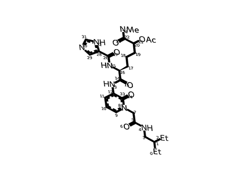 CCC(CC)CNC(=O)Cn1cccc(NC(=O)[C@H](CCCC(OC(C)=O)C(=O)NC)NC(=O)c2cnc[nH]2)c1=O